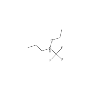 CCC[SiH](OCC)C(F)(F)F